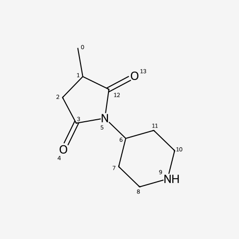 CC1CC(=O)N(C2CCNCC2)C1=O